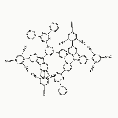 [C-]#[N+]c1cc(C#N)c(-c2ccc3c(c2)c2cc(-c4c(C#N)cc(C#N)cc4[N+]#[C-])ccc2n3-c2ccc(-c3nc(-c4ccccc4)nc(-c4ccccc4)n3)cc2-c2cccc(-c3cc(-c4nc(-c5ccccc5)nc(-c5ccccc5)n4)cc(-n4c5ccc(-c6c(C#N)cc(C#N)cc6[N+]#[C-])cc5c5cc(-c6c([N+]#[C-])cc(C#N)cc6[N+]#[C-])ccc54)c3)c2)c([N+]#[C-])c1